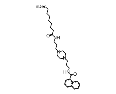 CCCCCCCCCCCCCCCCCC(=O)NCCCN1CCN(CCCNC(=O)c2cccc3ccccc23)CC1